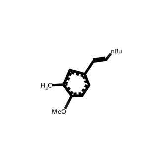 CCCC/C=C/c1ccc(OC)c(C)c1